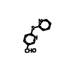 O=Cc1ccc(Sc2ccccn2)nc1